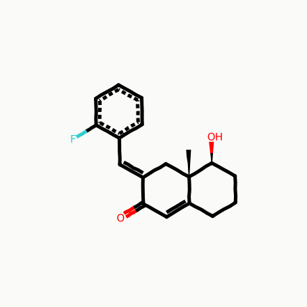 C[C@]12CC(=Cc3ccccc3F)C(=O)C=C1CCC[C@@H]2O